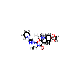 CCCN(C(=O)NCCN1CCCCC1)C(=O)[C@@H]1C[C@@H]2CC3(CC[C@H]2N(C)C1)OCCO3